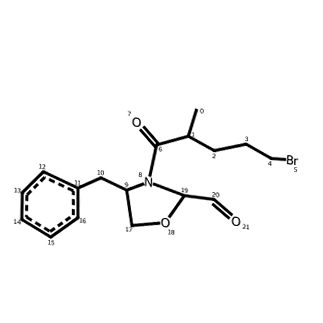 CC(CCCBr)C(=O)N1C(Cc2ccccc2)COC1C=O